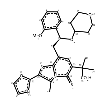 COc1ccccc1[C@H](Cc1cc(C(C)(C)C(=O)O)c(=S)n2c(C)c(-c3ncco3)sc12)OC1CCOCC1